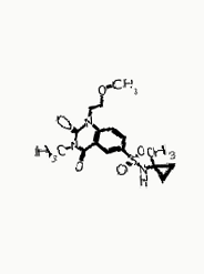 COCCn1c(=O)n(C)c(=O)c2cc(S(=O)(=O)NC3(C)CC3)ccc21